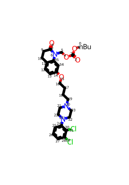 CCCCOC(=O)OCN1C(=O)CCc2ccc(OCCCCN3CCN(c4cccc(Cl)c4Cl)CC3)cc21